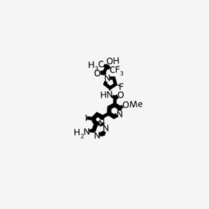 COc1ncc(-c2cc(I)c3c(N)ncnn23)cc1C(=O)N[C@@H]1CN(C(=O)C(C)(O)C(F)(F)F)C[C@@H]1F